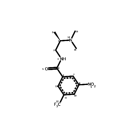 C[C@H](CNC(=O)c1cc([N+](=O)[O-])cc(C(F)(F)F)c1)N(C)C